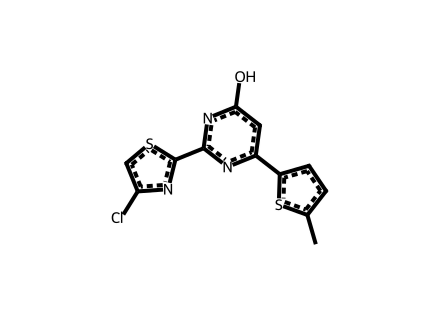 Cc1ccc(-c2cc(O)nc(-c3nc(Cl)cs3)n2)s1